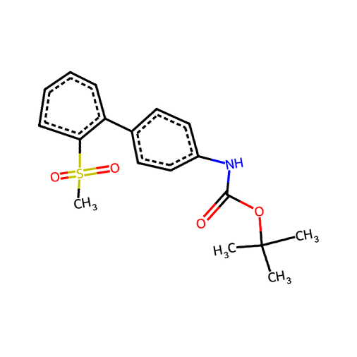 CC(C)(C)OC(=O)Nc1ccc(-c2ccccc2S(C)(=O)=O)cc1